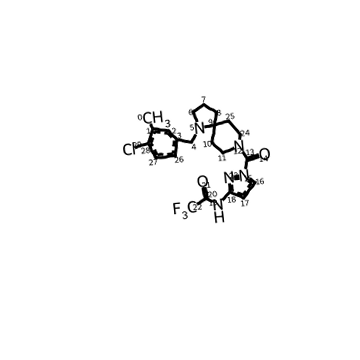 Cc1cc(CN2CCCC23CCN(C(=O)n2ccc(NC(=O)C(F)(F)F)n2)CC3)ccc1Cl